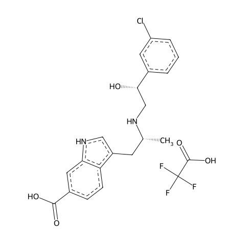 C[C@H](Cc1c[nH]c2cc(C(=O)O)ccc12)NC[C@H](O)c1cccc(Cl)c1.O=C(O)C(F)(F)F